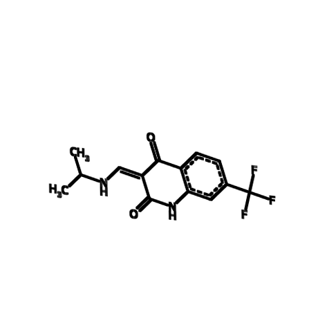 CC(C)N/C=C1\C(=O)Nc2cc(C(F)(F)F)ccc2C1=O